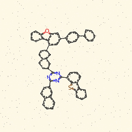 c1ccc(-c2ccc(-c3cc(-c4ccc5ccc(-c6nc(-c7ccc8ccccc8c7)nc(-c7cccc8c7sc7ccccc78)n6)cc5c4)c4c(c3)oc3ccccc34)cc2)cc1